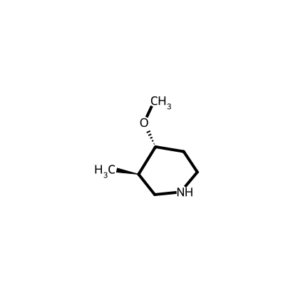 CO[C@@H]1CCNC[C@H]1C